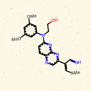 CN/C=C(\C=N)c1cnc2ccc(N(CCO)c3cc(OC)cc(OC)c3)nc2n1